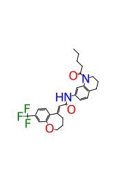 CCCCC(=O)N1CCCc2ccc(NC(=O)C=C3CCCOc4cc(C(F)(F)F)ccc43)cc21